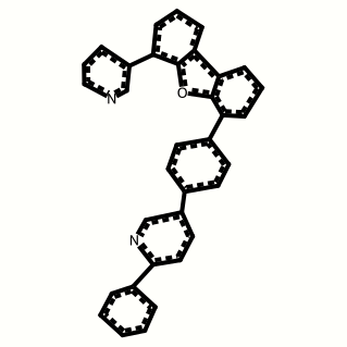 c1ccc(-c2ccc(-c3ccc(-c4cccc5c4oc4c(-c6cccnc6)cccc45)cc3)cn2)cc1